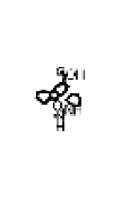 CNC(=O)NC1CCCCC1.O=C(O)c1ccc2cc3cccccc-3c2c1